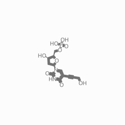 O=c1[nH]c(=O)n([C@H]2C[C@H](O)[C@@H](COP(=O)(O)O)O2)cc1C#CCO